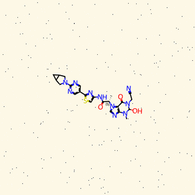 C[C@@H](C(=O)Nc1csc(-c2cnc(N3CC4CC4C3)nc2)n1)n1cnc2c1C(=O)N(CC#N)C(O)N2C